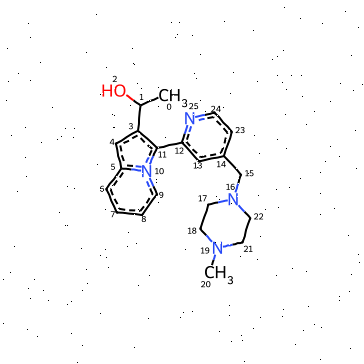 CC(O)c1cc2ccccn2c1-c1cc(CN2CCN(C)CC2)ccn1